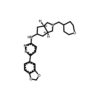 c1cc2c(cc1-c1ccc(NC3C[C@@H]4CN(CC5CCOCC5)C[C@@H]4C3)nn1)OCO2